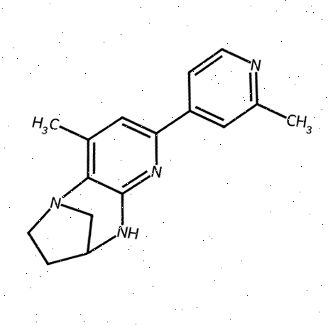 Cc1cc(-c2cc(C)c3c(n2)NC2CCN3C2)ccn1